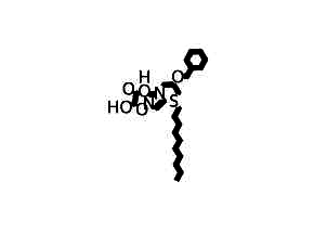 CCCCCCCCCCSCC(Cn1ccnc1)OCC1CCCCC1.O=C(O)C(=O)O